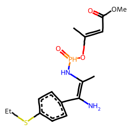 CCSc1ccc(/C(N)=C(/C)N[PH](=O)O/C(C)=C/C(=O)OC)cc1